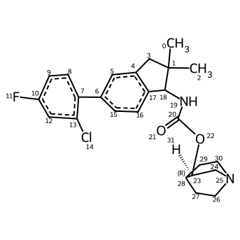 CC1(C)Cc2cc(-c3ccc(F)cc3Cl)ccc2C1NC(=O)O[C@H]1CN2CCC1CC2